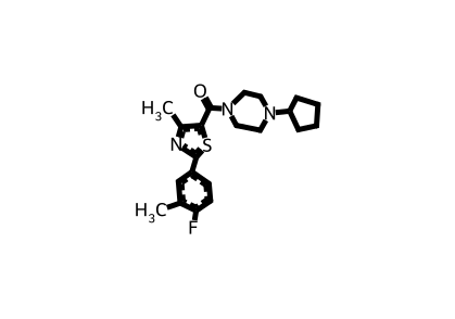 Cc1cc(-c2nc(C)c(C(=O)N3CCN(C4CCCC4)CC3)s2)ccc1F